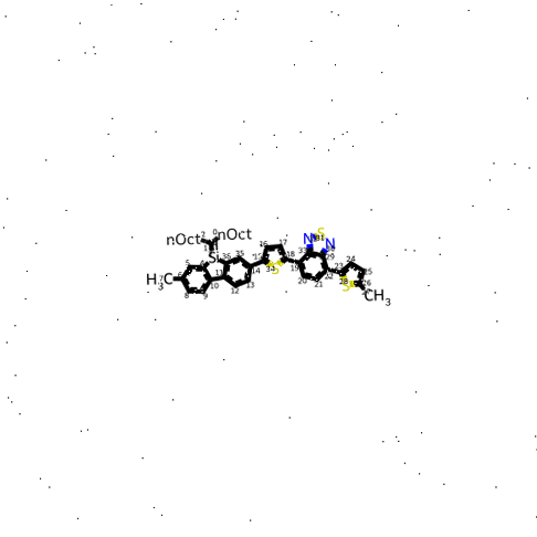 CCCCCCCCC(CCCCCCCC)[SiH]1c2cc(C)ccc2-c2ccc(-c3ccc(-c4ccc(-c5ccc(C)s5)c5nsnc45)s3)cc21